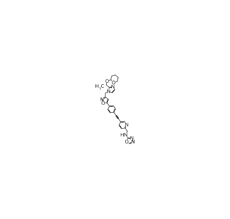 C[C@H](OC1CCCCO1)c1nccn1Cc1cc(-c2ccc(C#Cc3ccc(CNc4nnco4)nc3)cc2)on1